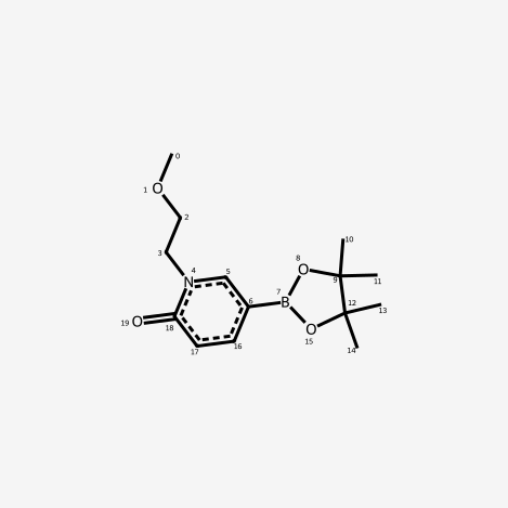 COCCn1cc(B2OC(C)(C)C(C)(C)O2)ccc1=O